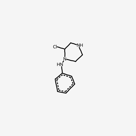 ClC1CNCCN1Nc1ccccc1